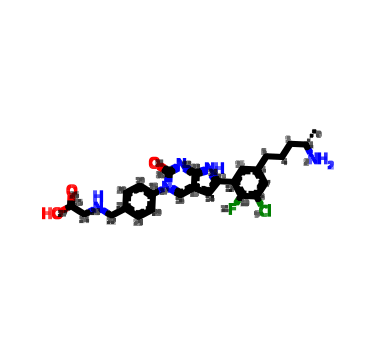 C[C@H](N)CCCc1cc(Cl)c(F)c(-c2cc3cn(-c4ccc(CNCC(=O)O)cc4)c(=O)nc3[nH]2)c1